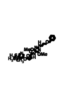 COc1nc(NCCCOCc2ccccc2)nc(OC)c1NC(=O)c1ccc(Oc2cncc([Si](C)(C)C)c2)o1